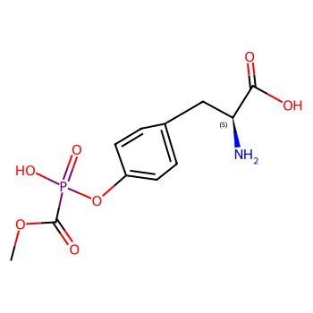 COC(=O)P(=O)(O)Oc1ccc(C[C@H](N)C(=O)O)cc1